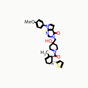 COc1ccc(-n2ccc3c(=O)n(CC4(O)CCN(C(=O)[C@@H]5C(C)=CCC[C@H]5c5cccs5)CC4)cnc32)cc1